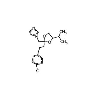 CC(C)C1COC(CCc2ccc(Cl)cc2)(Cn2ccnc2)O1